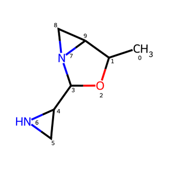 CC1OC(C2CN2)N2CC12